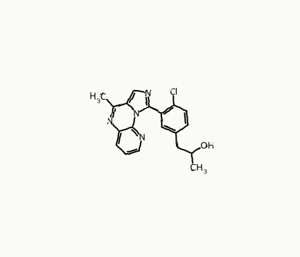 Cc1nc2cccnc2n2c(-c3cc(CC(C)O)ccc3Cl)ncc12